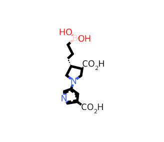 O=C(O)c1cncc(N2C[C@H](CCCB(O)O)[C@H](C(=O)O)C2)c1